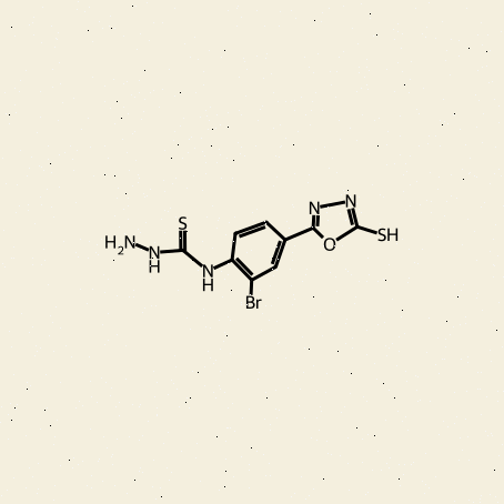 NNC(=S)Nc1ccc(-c2nnc(S)o2)cc1Br